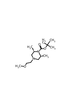 COCCN1C[C@@H](C)N(C(=O)OC(C)(C)C)[C@@H](C)C1